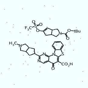 CC(C)(C)OC(=O)N1CC2C=C(OS(=O)(=O)C(F)(F)F)CC2C1.CN1CC2CC(c3ncc4c(=O)c(C(=O)O)c5sc6ccccc6n5c4n3)CC2C1